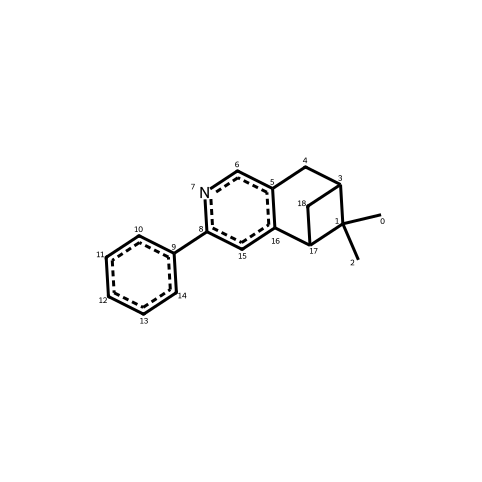 CC1(C)C2Cc3cnc(-c4ccccc4)cc3C1C2